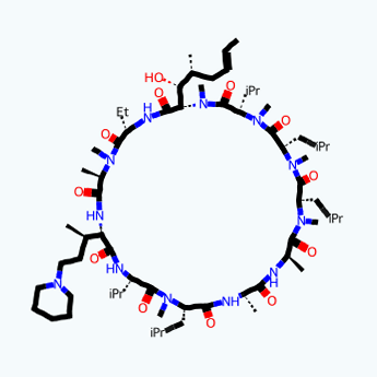 C/C=C/C[C@@H](C)[C@@H](O)[C@H]1C(=O)N[C@@H](CC)C(=O)N(C)[C@H](C)C(=O)N[C@@H]([C@H](C)CCN2CCCCC2)C(=O)N[C@@H](C(C)C)C(=O)N(C)[C@@H](CC(C)C)C(=O)N[C@@H](C)C(=O)N[C@H](C)C(=O)N(C)[C@@H](CC(C)C)C(=O)N(C)[C@@H](CC(C)C)C(=O)N(C)[C@@H](C(C)C)C(=O)N1C